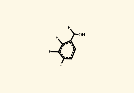 OC(F)c1ccc(F)c(F)c1F